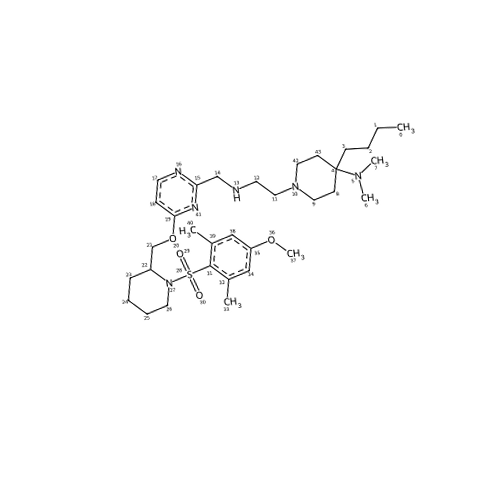 CCCCC1(N(C)C)CCN(CCNCc2nccc(OCC3CCCCN3S(=O)(=O)c3c(C)cc(OC)cc3C)n2)CC1